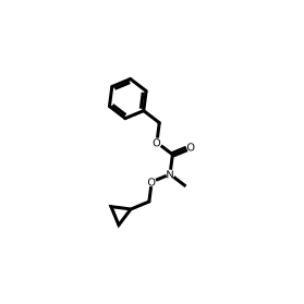 CN(OCC1CC1)C(=O)OCc1ccccc1